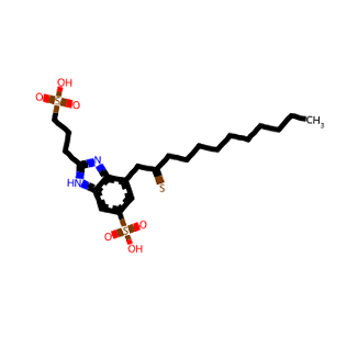 CCCCCCCCCCC(=S)Cc1cc(S(=O)(=O)O)cc2[nH]c(CCCS(=O)(=O)O)nc12